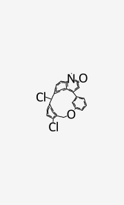 Cn1c(=O)cc2c3cc(ccc31)C(Cl)c1ccc(Cl)c(c1)COc1cccc-2c1